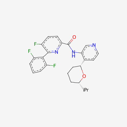 CC(C)[C@@H]1CCC[C@H](c2ccncc2NC(=O)c2ccc(F)c(-c3c(F)cccc3F)n2)O1